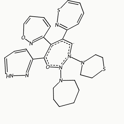 [c]1c(C2=NSC=CC=C2)c(C2=NOC=CC=C2)c(C2=NNC=CC=C2)on(N2CCCCCC2)n1N1CCSCC1